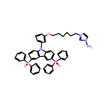 Cn1cc[n+](CCCCCCOc2cccc(-n3c4ccc(P(=O)(c5ccccc5)c5ccccc5)cc4c4cc(P(=O)(c5ccccc5)c5ccccc5)ccc43)c2)c1